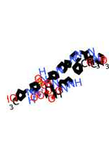 COc1cc(CN2CCN(C3CC4(CCN(c5ccc(C(=O)NS(=O)(=O)c6ccc(NCC7CCC(C)(O)CC7)c([N+](=O)[O-])c6)c(N6C[C@H]7OCCOC[C@@H]7Oc7nc8[nH]ccc8cc76)c5)CC4)C3)[C@H](c3ccccc3C)C2)cnc1N1CCOCC1